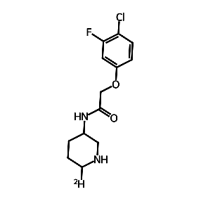 [2H]C1CCC(NC(=O)COc2ccc(Cl)c(F)c2)CN1